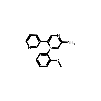 COc1ccccc1N1CC(N)=NC=C1c1cccnc1